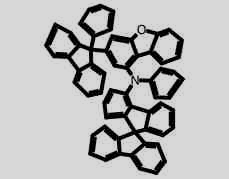 c1ccc(N(c2cccc3c2-c2ccccc2C32c3ccccc3-c3ccccc32)c2cc(C3(c4ccccc4)c4ccccc4-c4ccccc43)cc3oc4ccccc4c23)cc1